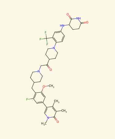 COc1cc(-c2cn(C)c(=O)c(C)c2C)cc(F)c1CC1CCN(CC(=O)C2CCN(c3ccc(NC4CCC(=O)NC4=O)cc3C(F)(F)F)CC2)CC1